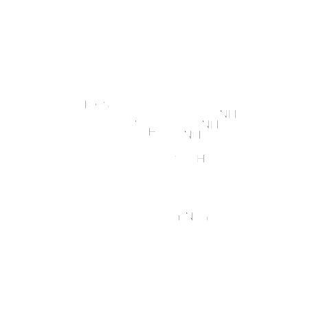 CCCCCCCCCCCCOS(=O)(=O)O.N.N.N.O=S(=O)(O)O